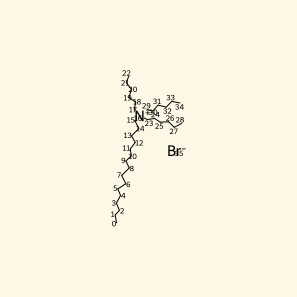 CCCCCCCCCCCCCCCC[N+](CCCCCC)(CCCCCC)CCCCCC.[Br-]